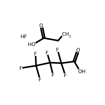 CCC(=O)O.F.O=C(O)C(F)(F)C(F)(F)C(F)(F)F